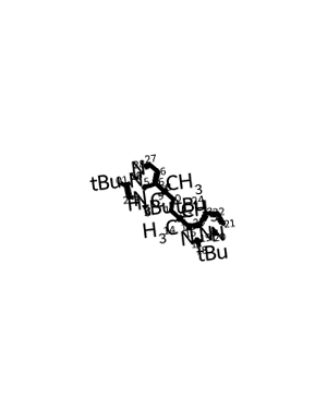 CC(C)(C)C1=CN(C(C)(C)C)C2C(C(C)(C)CCC(C)(C)c3nc(C(C)(C)C)n4nccc(C(C)(C)C)c34)=CC=NN12